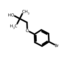 CC(C)(O)COc1ccc(Br)cc1